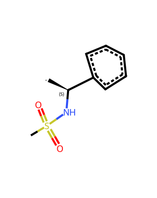 [CH2][C@H](NS(C)(=O)=O)c1ccccc1